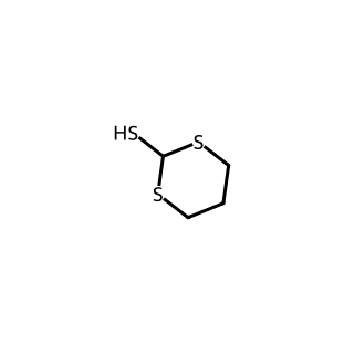 SC1SCCCS1